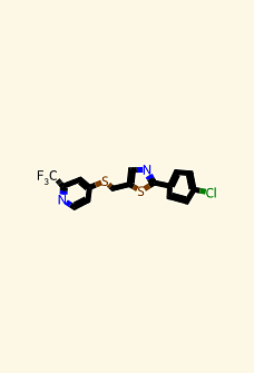 FC(F)(F)c1cc(SCc2cnc(-c3ccc(Cl)cc3)s2)ccn1